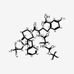 CC(C)(C)OC(=O)NC(C)(C)C(=O)NC(CCc1ccc(F)cc1C(=O)O)C(=O)N1CCC2=NN(CC(F)(F)F)C(=O)C2(Cc2ccccn2)C1